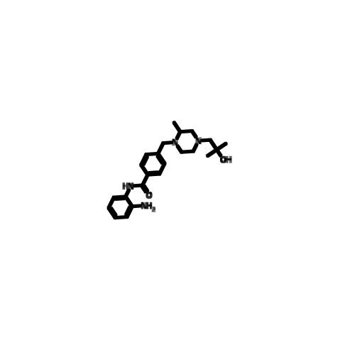 CC1CN(CC(C)(C)O)CCN1Cc1ccc(C(=O)Nc2ccccc2N)cc1